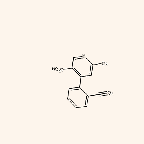 C#Cc1ccccc1-c1cc(C#N)ncc1C(=O)O